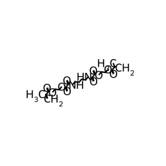 C=C(C)C(=O)OCCOC(=O)C(=O)NCCCCNC(=O)C(=O)OCCOC(=O)C(=C)C